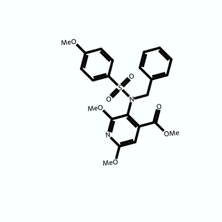 COC(=O)c1cc(OC)nc(OC)c1N(Cc1ccccc1)S(=O)(=O)c1ccc(OC)cc1